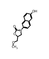 COCC1CN(c2ccc3cc(O)ccc3c2)C(=O)O1